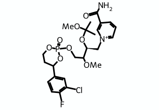 COC(COP1(=O)OCCC(c2ccc(F)c(Cl)c2)O1)[C@H](C[n+]1cccc(C(N)=O)c1)OC(C)(C)OC